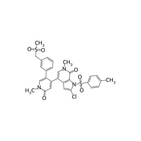 Cc1ccc(S(=O)(=O)n2c(Cl)cc3c(-c4cc(=O)n(C)cc4-c4cccc(CS(C)(=O)=O)c4)cn(C)c(=O)c32)cc1